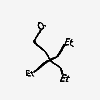 CCC(CC)(CC)C[O]